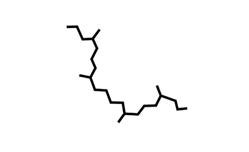 CCCC(C)CCCC(C)CCCCC(C)CCCC(C)CCC